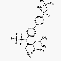 CC(C)C[C@@H](C(N)=O)N(CC#N)[C@@H](c1ccc(-c2ccc(S(=O)(=O)CC(C)(C)O)cc2)cc1)C(F)(F)C(F)(F)F